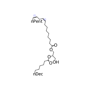 CCCCC/C=C\C/C=C\CCCCCCCC(=O)OCC(CO)OC(=O)CCCCCCCCCCCCCCC